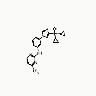 OC(c1cn(-c2cccc(Nc3nccc(C(F)(F)F)n3)c2)cn1)(C1CC1)C1CC1